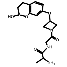 CC(N)C(=O)NCC(=O)N1CC(Oc2ccc3c(c2)OB(O)CC3)C1